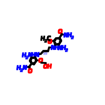 COc1cc(C(N)=O)cc(N)c1NC/C=C/CNc1c(N)cc(C(N)=O)cc1OCCO